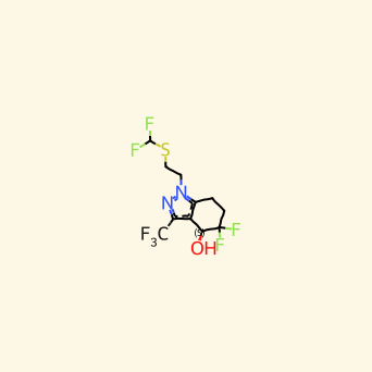 O[C@H]1c2c(C(F)(F)F)nn(CCSC(F)F)c2CCC1(F)F